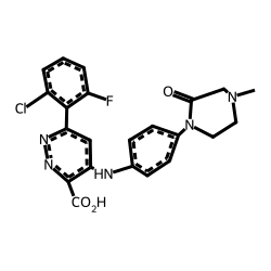 CN1CCN(c2ccc(Nc3cc(-c4c(F)cccc4Cl)nnc3C(=O)O)cc2)C(=O)C1